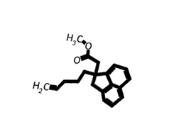 C=CCCCC1(CC(=O)OC)Cc2cccc3cccc1c23